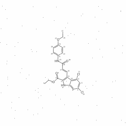 CCOC(=O)c1[nH]c2cc(Cl)cc(Cl)c2c1C=CC(=O)Nc1ccc(OCC)cc1